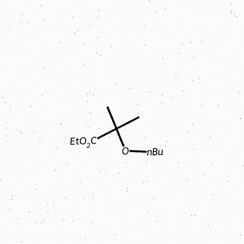 CCCCOC(C)(C)C(=O)OCC